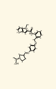 CB(O)N1CCC(COc2ccc(OCc3ccccc3NC(=O)c3cc4sccc4n3C)cc2)C1